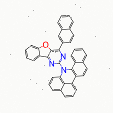 c1ccc2cc(-c3nc(N4c5c(ccc6ccccc56)-c5cccc6cccc4c56)nc4c3oc3ccccc34)ccc2c1